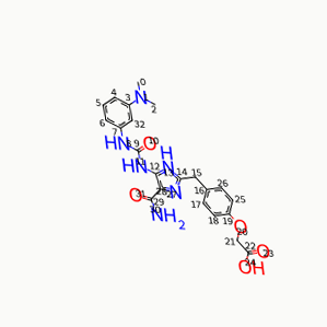 CN(C)c1cccc(NC(=O)Nc2[nH]c(Cc3ccc(OCC(=O)O)cc3)nc2C(N)=O)c1